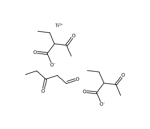 CCC(=O)CC=O.CCC(C(C)=O)C(=O)[O-].CCC(C(C)=O)C(=O)[O-].[Ti+2]